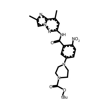 Cc1cn2nc(NC(=O)c3cc(N4CCN(C(=O)OC(C)(C)C)CC4)ccc3[N+](=O)[O-])cc(C)c2n1